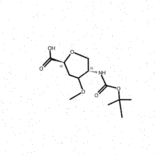 COC1C[C@@H](C(=O)O)OC[C@@H]1NC(=O)OC(C)(C)C